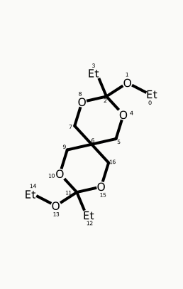 CCOC1(CC)OCC2(CO1)COC(CC)(OCC)OC2